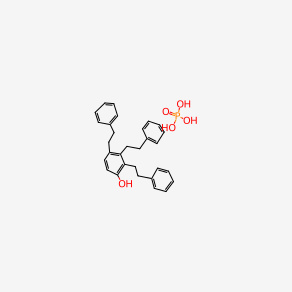 O=P(O)(O)O.Oc1ccc(CCc2ccccc2)c(CCc2ccccc2)c1CCc1ccccc1